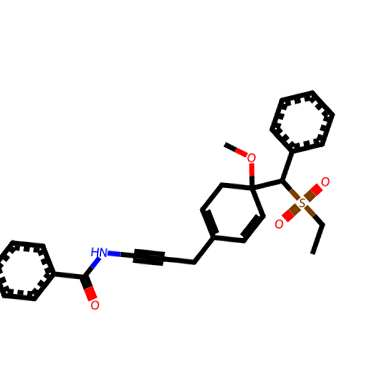 CCS(=O)(=O)C(c1ccccc1)C1(OC)C=CC(CC#CNC(=O)c2ccccc2)=CC1